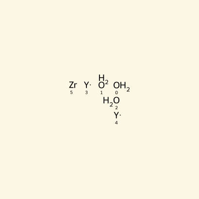 O.O.O.[Y].[Y].[Zr]